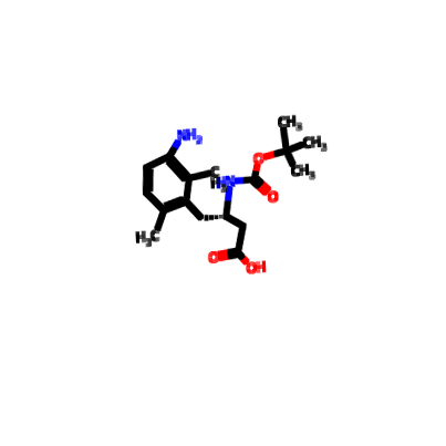 Cc1ccc(N)c(C)c1C[C@@H](CC(=O)O)NC(=O)OC(C)(C)C